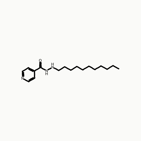 CCCCCCCCCCCNNC(=O)c1ccncc1